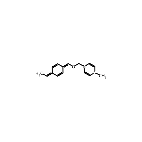 CC=c1ccc(=COCN2C=CN(C)C=C2)cc1